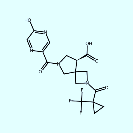 O=C(O)[C@@H]1CN(C(=O)c2cnc(O)cn2)CC12CN(C(=O)C1(C(F)(F)F)CC1)C2